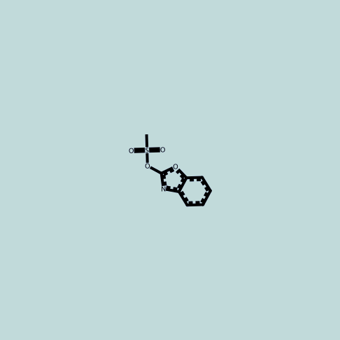 CS(=O)(=O)Oc1nc2ccccc2o1